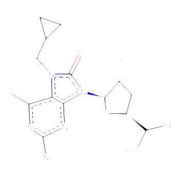 CC(=O)OC([C@@H]1C[C@@H](OC(C)=O)[C@H](n2c(=O)n(CC3CC3)c3c(Cl)nc(N)nc32)O1)C(F)(F)F